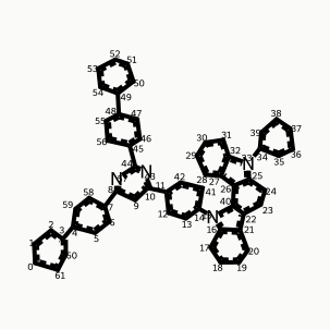 c1ccc(-c2ccc(-c3cc(-c4ccc(-n5c6ccccc6c6ccc7c(c8ccccc8n7-c7ccccc7)c65)cc4)nc(-c4ccc(-c5ccccc5)cc4)n3)cc2)cc1